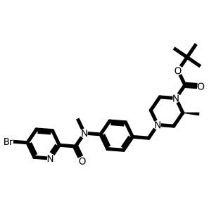 C[C@H]1CN(Cc2ccc(N(C)C(=O)c3ccc(Br)cn3)cc2)CCN1C(=O)OC(C)(C)C